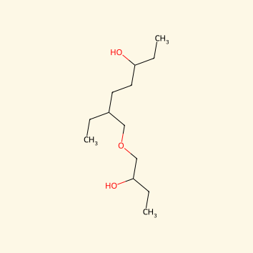 CCC(O)CCC(CC)COCC(O)CC